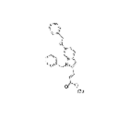 CC(C)(C)OC(=O)C=Cc1cc2ccc(OCc3ccccc3)cc2n1Cc1ccccc1